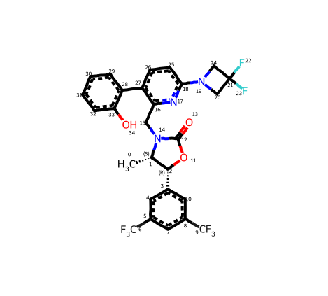 C[C@H]1[C@@H](c2cc(C(F)(F)F)cc(C(F)(F)F)c2)OC(=O)N1Cc1nc(N2CC(F)(F)C2)ccc1-c1ccccc1O